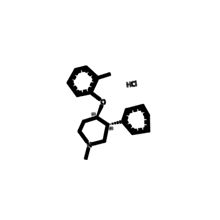 Cc1ccccc1O[C@@H]1CCN(C)C[C@H]1c1ccccc1.Cl